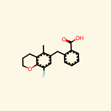 Cc1c(Cc2ccccc2C(=O)O)cc(F)c2c1CCCO2